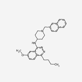 CCCCc1nnc(NC2CCN(Cc3ccc4ccccc4c3)CC2)c2cc(OC)ccc12